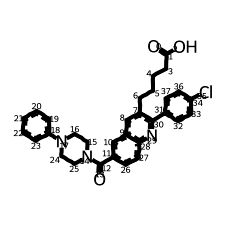 O=C(O)CCCCc1cc2cc(C(=O)N3CCN(c4ccccc4)CC3)ccc2nc1-c1ccc(Cl)cc1